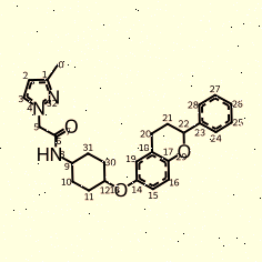 Cc1ccn(CC(=O)NC2CCC(Oc3ccc4c(c3)CCC(c3ccccc3)O4)CC2)n1